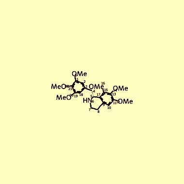 COc1cc(C[C@H]2NCCc3cc(OC)c(OC)c(OC)c32)cc(OC)c1OC